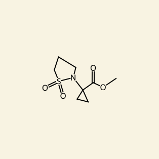 COC(=O)C1(N2CCCS2(=O)=O)CC1